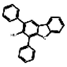 Oc1c(-c2ccccc2)cc2c(oc3ccccc32)c1-c1ccccc1